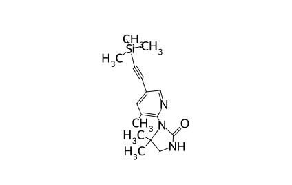 Cc1cc(C#C[Si](C)(C)C)cnc1N1C(=O)NCC1(C)C